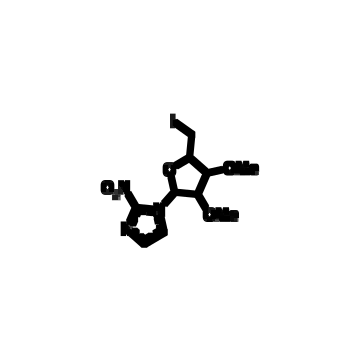 COC1C(CI)OC(n2ccnc2[N+](=O)[O-])C1OC